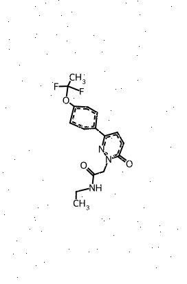 CCNC(=O)Cn1nc(-c2ccc(OC(C)(F)F)cc2)ccc1=O